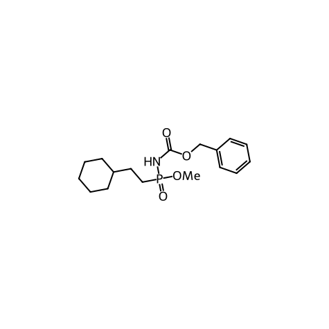 COP(=O)(CCC1CCCCC1)NC(=O)OCc1ccccc1